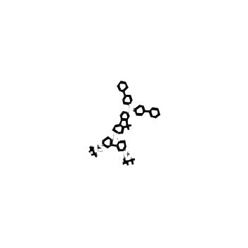 CC1(C)c2cc(N(c3ccc(-c4ccccc4)cc3)c3ccc(-c4ccccc4)cc3)ccc2-c2ccc(-n3c4ccc(B5OC(C)(C)C(C)(C)O5)cc4c4cc(B5OC(C)(C)C(C)(C)O5)ccc43)cc21